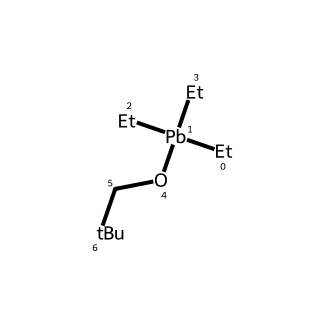 C[CH2][Pb]([CH2]C)([CH2]C)[O]CC(C)(C)C